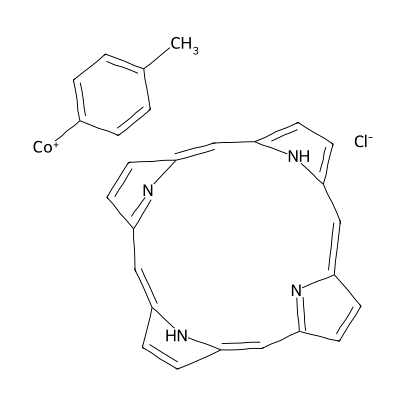 C1=Cc2cc3ccc(cc4nc(cc5ccc(cc1n2)[nH]5)C=C4)[nH]3.Cc1cc[c]([Co+])cc1.[Cl-]